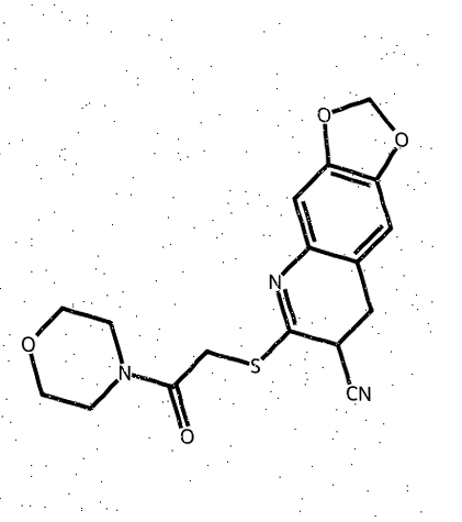 N#CC1Cc2cc3c(cc2N=C1SCC(=O)N1CCOCC1)OCO3